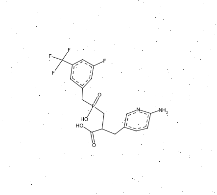 Nc1ccc(CC(CP(=O)(O)Cc2cc(F)cc(C(F)(F)F)c2)C(=O)O)cn1